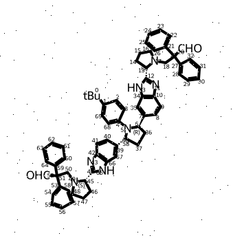 CC(C)(C)c1ccc(N2[C@@H](c3ccc4nc([C@@H]5CCCN5CC(C=O)(c5ccccc5)c5ccccc5)[nH]c4c3)CC[C@@H]2c2ccc3nc([C@@H]4CCCN4CC(C=O)(c4ccccc4)c4ccccc4)[nH]c3c2)cc1